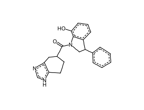 O=C(C1CCc2[nH]cnc2C1)N1CC(c2ccccc2)c2cccc(O)c21